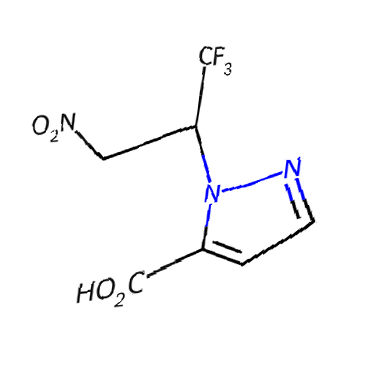 O=C(O)c1ccnn1C(C[N+](=O)[O-])C(F)(F)F